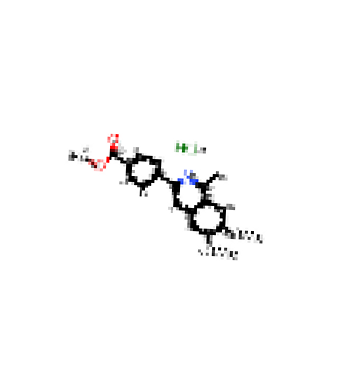 COc1cc2cc(-c3ccc(C(=O)OC(C)C)cc3)nc(C)c2cc1OC.Cl